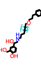 OCc1cc([C@H](O)CNCCCC(F)(F)C(F)(F)COCCCc2ccccc2)ccc1O